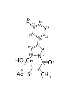 CC(=O)SCC(C)C(=O)N1CC(c2cccc(F)c2)=CC1C(=O)O